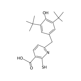 CC(C)(C)c1cc(Cc2ccc(C(=O)O)c(S)n2)cc(C(C)(C)C)c1O